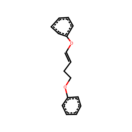 C(=C\Oc1ccccc1)/CCOc1ccccc1